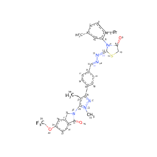 Cc1ccc(C(C)C)c(N2C(=O)CS/C2=N\N=C\c2ccc(-c3nn(C)c(N4Cc5cc(OC(F)(F)F)ccc5C4=O)c3C)cc2)c1